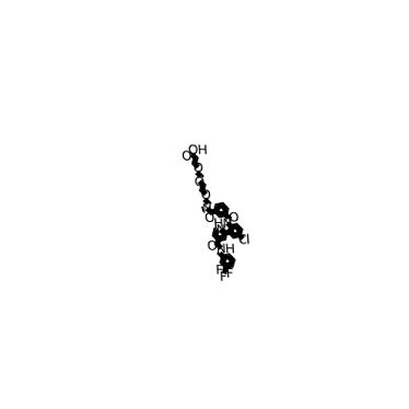 CN(CCOCCOCCOCCC(=O)O)C(=O)c1cccc(C(=O)Nc2ccc(Cl)cc2-c2cc(C(=O)NCc3cccc(C(F)(F)F)c3)ccn2)c1